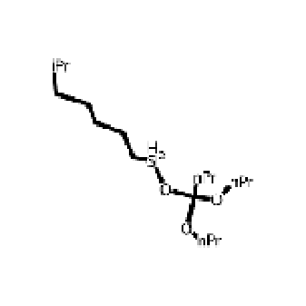 CCCOC(CCC)(OCCC)O[SiH2]CCCCCC(C)C